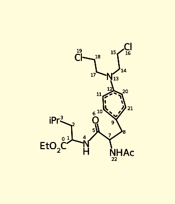 CCOC(=O)C(CC(C)C)NC(=O)C(Cc1ccc(N(CCCl)CCCl)cc1)NC(C)=O